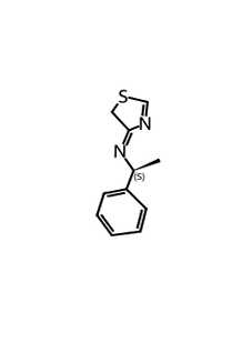 C[C@H](N=C1CSC=N1)c1ccccc1